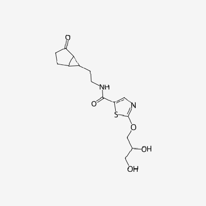 O=C(NCCC1C2CCC(=O)C12)c1cnc(OCC(O)CO)s1